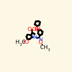 CCO/N=C(\Cn1cc(C(=O)O)c2ccc(OC)cc21)c1cccc(Oc2ccccc2)c1